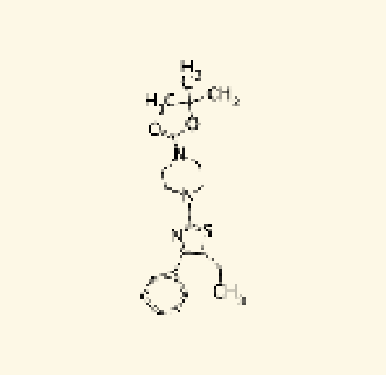 CCc1sc(N2CCN(C(=O)OC(C)(C)C)CC2)nc1-c1ccccc1